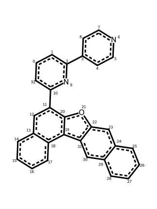 c1cc(-c2ccncc2)nc(-c2cc3ccccc3c3c2oc2cc4ccccc4cc23)c1